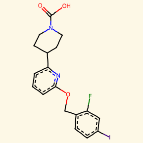 O=C(O)N1CCC(c2cccc(OCc3ccc(I)cc3F)n2)CC1